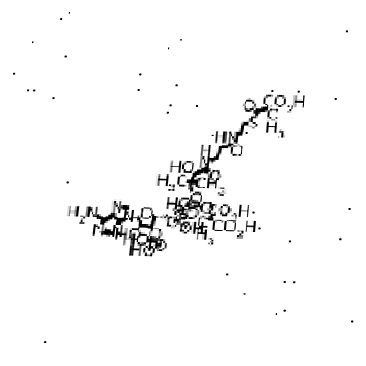 CC(C(=O)O)C(=O)O.CC(C(=O)O)C(=O)SCCNC(=O)CCNC(=O)[C@H](O)C(C)(C)COP(=O)(O)OP(=O)(O)OC[C@H]1O[C@@H](n2cnc3c(N)ncnc32)[C@H](O)[C@@H]1OP(=O)(O)O